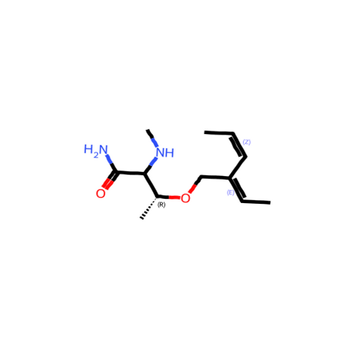 C/C=C\C(=C/C)CO[C@H](C)C(NC)C(N)=O